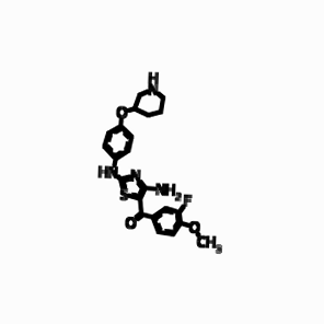 COc1ccc(C(=O)c2sc(Nc3ccc(OC4CCCNC4)cc3)nc2N)cc1F